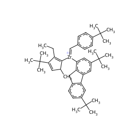 CCC1=[C](/[Zr](=[CH]/c2ccc(C(C)(C)C)cc2)[c]2cc(C(C)(C)C)cc3c2Cc2ccc(C(C)(C)C)cc2-3)C(C)C=C1C(C)(C)C